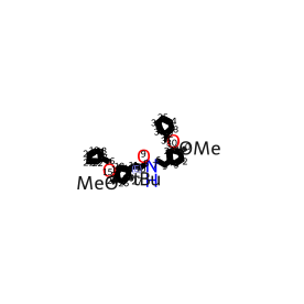 COc1ccc(CCNC(=O)/C=C/c2cc(OCc3ccccc3)c(OC)cc2C(C)(C)C)cc1OCc1ccccc1